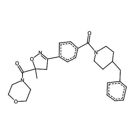 CC1(C(=O)N2CCOCC2)CC(c2ccc(C(=O)N3CCC(Cc4ccccc4)CC3)cc2)=NO1